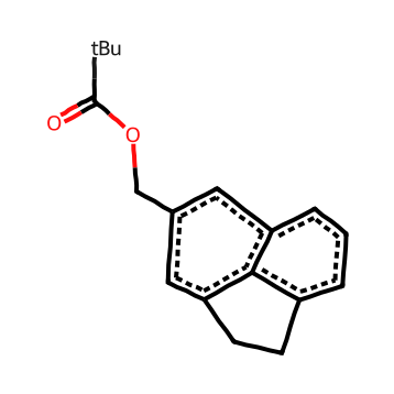 CC(C)(C)C(=O)OCc1cc2c3c(cccc3c1)CC2